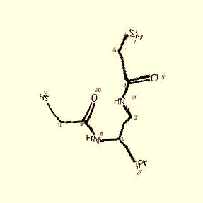 CC(C)C(CNC(=O)CS)NC(=O)CS